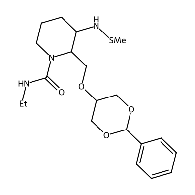 CCNC(=O)N1CCCC(NSC)C1COC1COC(c2ccccc2)OC1